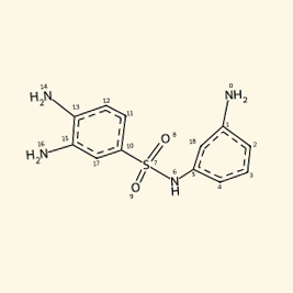 Nc1cccc(NS(=O)(=O)c2ccc(N)c(N)c2)c1